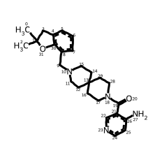 CC1(C)Cc2cccc(CN3CCC4(CC3)CCN(C(=O)c3cnccc3N)CC4)c2O1